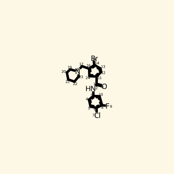 O=C(Nc1ccc(Cl)c(F)c1)c1ccc(Br)c(CN2CCCCC2)c1